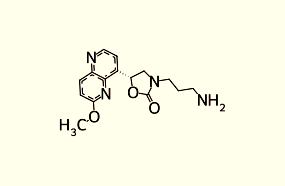 COc1ccc2nccc([C@@H]3CN(CCCN)C(=O)O3)c2n1